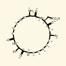 CCC1NC(=O)CCSSCC(N)C(=O)N[C@@H](CC(=O)O)C(=O)CC(C(C)=O)CSSCCNC1=O